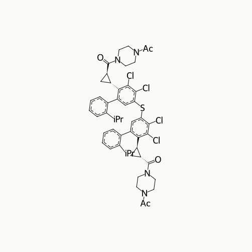 CC(=O)N1CCN(C(=O)[C@@H]2C[C@H]2c2c(-c3ccccc3C(C)C)cc(Sc3cc(-c4ccccc4C(C)C)c([C@@H]4C[C@H]4C(=O)N4CCN(C(C)=O)CC4)c(Cl)c3Cl)c(Cl)c2Cl)CC1